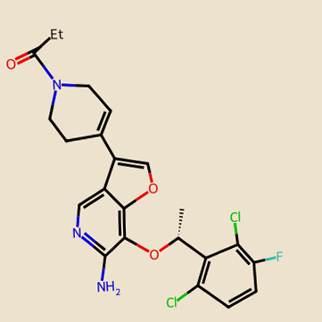 CCC(=O)N1CC=C(c2coc3c(O[C@H](C)c4c(Cl)ccc(F)c4Cl)c(N)ncc23)CC1